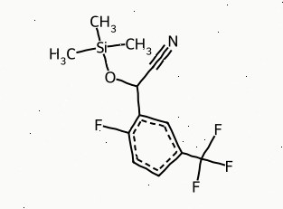 C[Si](C)(C)OC(C#N)c1cc(C(F)(F)F)ccc1F